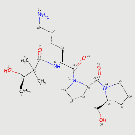 C[C@@H](O)C(C)(C)C(=O)N[C@@H](CCCCN)C(=O)N1CCC[C@H]1C(=O)N1CCC[C@H]1CO